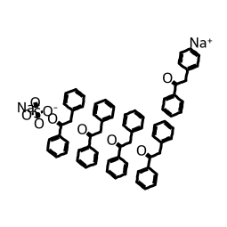 O=C(Cc1ccccc1)c1ccccc1.O=C(Cc1ccccc1)c1ccccc1.O=C(Cc1ccccc1)c1ccccc1.O=C(Cc1ccccc1)c1ccccc1.O=C(Cc1ccccc1)c1ccccc1.O=S(=O)([O-])[O-].[Na+].[Na+]